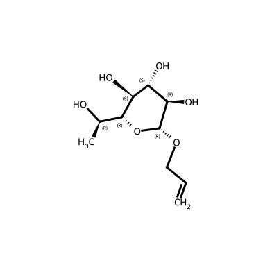 C=CCO[C@@H]1O[C@H]([C@@H](C)O)[C@@H](O)[C@H](O)[C@H]1O